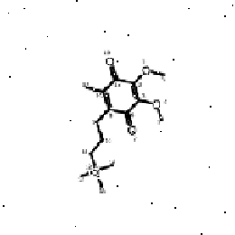 COC1=C(OC)C(=O)C(CCC[Si](C)(C)C)=C(C)C1=O